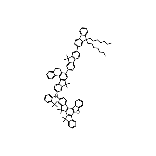 CCCCCCCC1(CCCCCCC)c2ccccc2-c2ccc(-c3ccc4c(c3)C(C)(C)c3cc(-c5cc6c(c7c5CCc5ccccc5-7)-c5ccc(N(c7ccc8c(c7)C(C)(C)c7c9c(c%10oc%11ccccc%11c%10c7-8)-c7ccccc7C9(C)C)c7ccccc7C(C)(C)C)cc5C6(C)C)ccc3-4)cc21